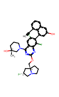 C#Cc1cccc2cc(O)cc(-c3c(F)cc4c(N5CCC[C@@](C)(O)C5)nc(OC[C@@]56CCCN5C[C@H](F)C6)nc4c3F)c12